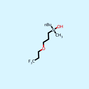 CCCC[Si](C)(O)CCCOCCC(F)(F)F